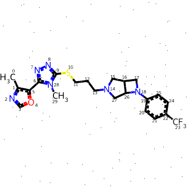 Cc1ncoc1-c1nnc(SCCCN2CC3CN(c4ccc(C(F)(F)F)cc4)C3C2)n1C